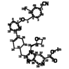 N#Cc1ccc(COc2cccc(C3=CCC(Cc4nc5cnc(C(=O)OI)cc5n4C[C@@H]4CCO4)CC3)n2)c(F)c1